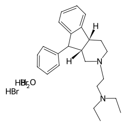 Br.Br.CCN(CC)CCN1CC[C@H]2c3ccccc3C(c3ccccc3)[C@H]2C1.O